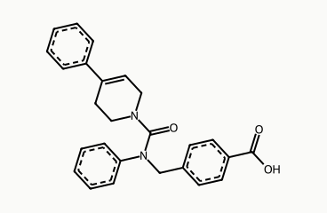 O=C(O)c1ccc(CN(C(=O)N2CC=C(c3ccccc3)CC2)c2ccccc2)cc1